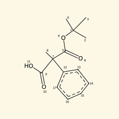 CC(C)(C)OC(=O)C(C)(C(=O)O)c1ccccc1